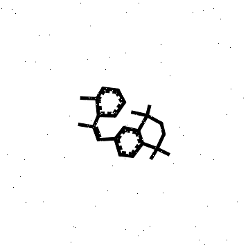 CC(=Cc1ccc2c(c1)C(C)(C)CCC2(C)C)c1ccccc1C